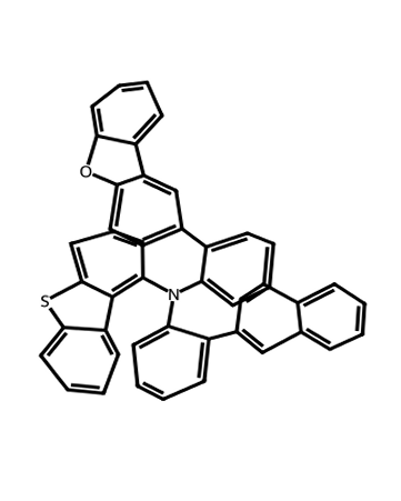 c1ccc(N(c2ccccc2-c2ccc3oc4ccccc4c3c2)c2cccc3sc4ccccc4c23)c(-c2ccc3ccccc3c2)c1